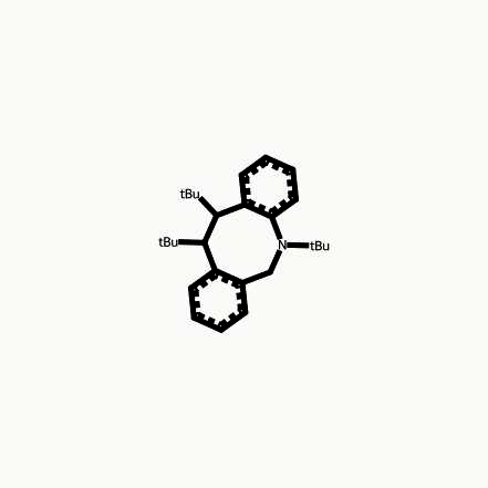 CC(C)(C)C1c2ccccc2CN(C(C)(C)C)c2ccccc2C1C(C)(C)C